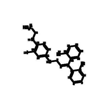 CCc1ccccc1C(=CCSc1ccc(OCC(=O)O)c(I)c1)c1ccccc1CC